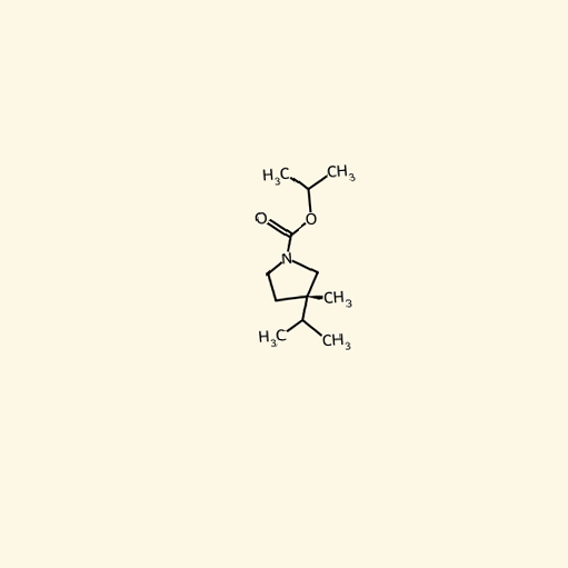 CC(C)OC(=O)N1CC[C@@](C)(C(C)C)C1